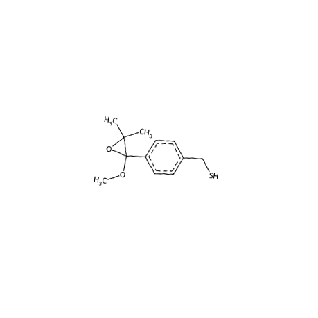 COC1(c2ccc(CS)cc2)OC1(C)C